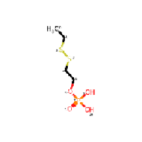 CCSSCCOP(=O)(O)O